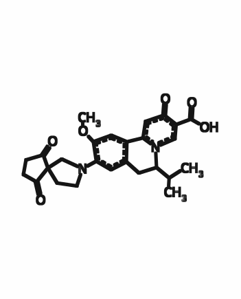 COc1cc2c(cc1N1CCC3(C1)C(=O)CCC3=O)CC(C(C)C)n1cc(C(=O)O)c(=O)cc1-2